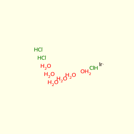 Cl.Cl.Cl.O.O.O.O.O.O.[Ir]